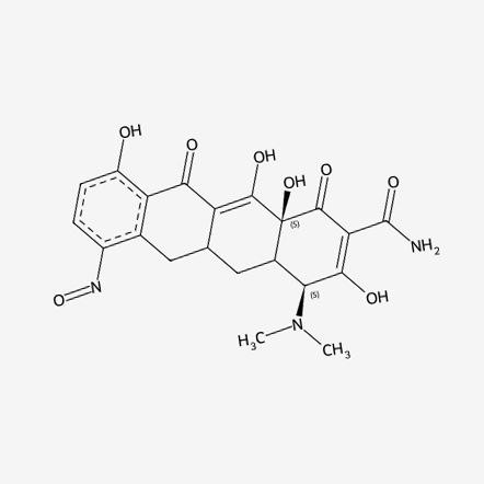 CN(C)[C@@H]1C(O)=C(C(N)=O)C(=O)[C@@]2(O)C(O)=C3C(=O)c4c(O)ccc(N=O)c4CC3CC12